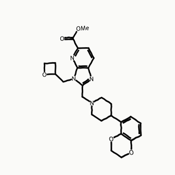 COC(=O)c1ccc2nc(CN3CCC(c4cccc5c4OCCO5)CC3)n(CC3CCO3)c2n1